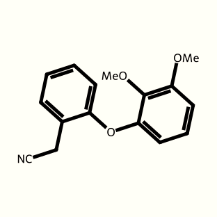 COc1cccc(Oc2ccccc2CC#N)c1OC